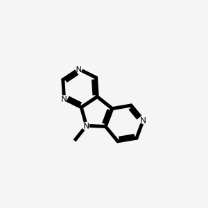 Cn1c2ccncc2c2cncnc21